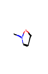 CN1C=CCO1